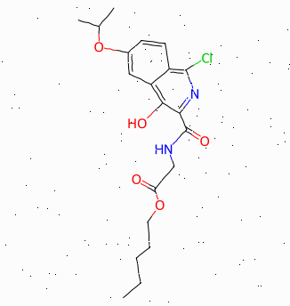 CCCCCOC(=O)CNC(=O)c1nc(Cl)c2ccc(OC(C)C)cc2c1O